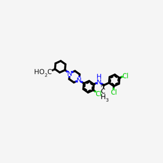 C[C@@H](Nc1cc(N2CCN(C3CCCC(C(=O)O)C3)CC2)ccc1Cl)c1ccc(Cl)cc1Cl